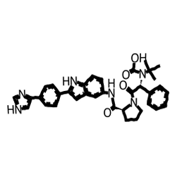 CC(C)(C)N(C(=O)O)[C@@H](C(=O)N1CCC[C@H]1C(=O)Nc1ccc2[nH]c(-c3ccc(-c4c[nH]cn4)cc3)cc2c1)c1ccccc1